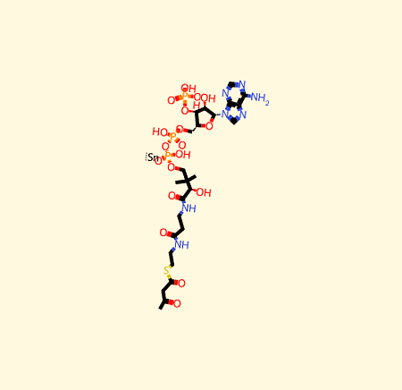 CC(=O)CC(=O)SCCNC(=O)CCNC(=O)[C@H](O)C(C)(C)COP(=O)(O)OP(=O)(O)OC[C@H]1O[C@@H](n2cnc3c(N)ncnc32)[C@H](O)[C@@H]1OP(=O)(O)O.[Sn]